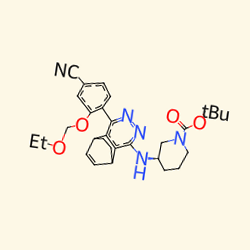 CCOCOc1cc(C#N)ccc1-c1nnc(N[C@@H]2CCCN(C(=O)OC(C)(C)C)C2)c2c1C1C=CC2CC1